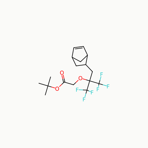 CC(C)(C)OC(=O)COC(CC1CC2C=CC1C2)(C(F)(F)F)C(F)(F)F